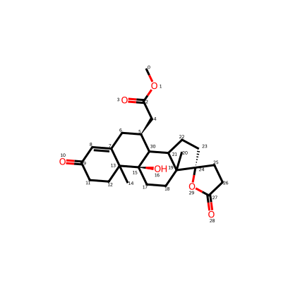 COC(=O)C[C@@H]1CC2=CC(=O)CCC2(C)[C@@]2(O)CCC3(C)C(CC[C@@]34CCC(=O)O4)C12